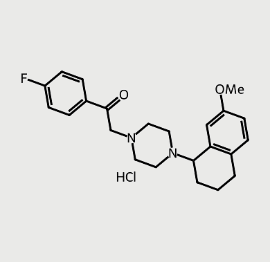 COc1ccc2c(c1)C(N1CCN(CC(=O)c3ccc(F)cc3)CC1)CCC2.Cl